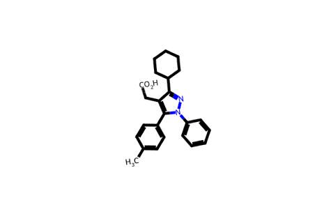 Cc1ccc(-c2c(CC(=O)O)c(C3CCCCC3)nn2-c2ccccc2)cc1